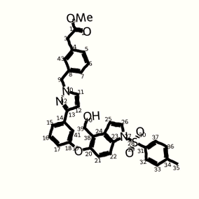 COC(=O)Cc1cccc(Cn2ccc(-c3cccc(Oc4ccc5c(ccn5S(=O)(=O)c5ccc(C)cc5)c4CO)c3)n2)c1